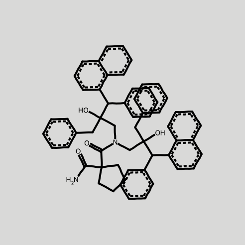 NC(=O)C1(C(=O)N(CC(O)(Cc2ccccc2)C(c2ccccc2)c2cccc3ccccc23)CC(O)(Cc2ccccc2)C(c2ccccc2)c2cccc3ccccc23)CCCC1